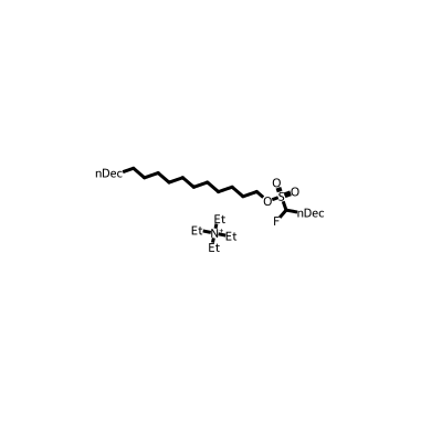 CCCCCCCCCCCCCCCCCCCCCOS(=O)(=O)C(F)CCCCCCCCCC.CC[N+](CC)(CC)CC